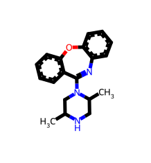 CC1CN(C2=Nc3ccccc3Oc3ccccc32)C(C)CN1